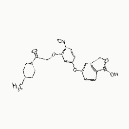 [C-]#[N+]c1ccc(Oc2ccc3c(c2)COB3O)cc1OCC(=O)N1CCC(C)CC1